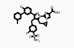 Cc1cccc(-c2cc(-c3nn(-c4nc(C(=O)O)cs4)c(CC4CC4)c3Cc3ccc(S(N)(=O)=O)c(F)c3)ccc2F)c1